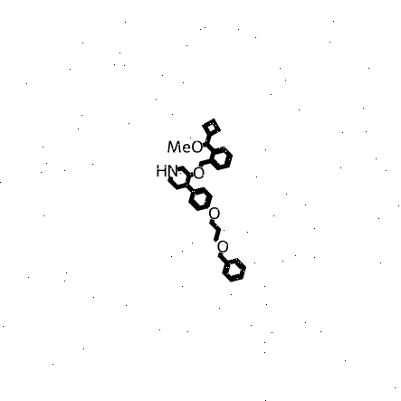 COC(c1ccccc1COC1CNCCC1c1ccc(OCCCOCc2ccccc2)cc1)C1CCC1